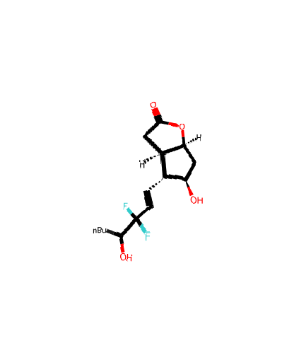 CCCCC(O)C(F)(F)/C=C/[C@@H]1[C@H]2CC(=O)O[C@H]2C[C@H]1O